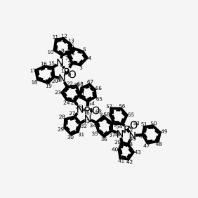 O=P1(c2ccccc2)N(c2ccccc2)c2ccccc2N1c1ccc(N2c3ccccc3N(c3ccc(N4c5ccccc5N(c5ccccc5)P4(=O)c4ccccc4)cc3)P2(=O)c2ccccc2)cc1